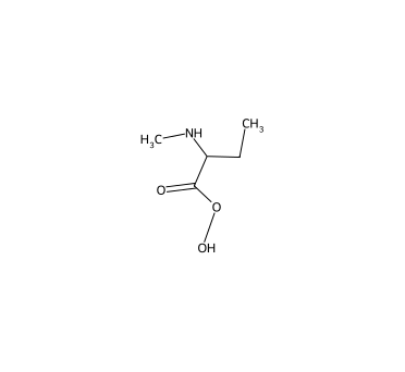 CCC(NC)C(=O)OO